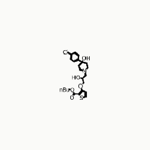 CCCCOC(=O)c1sccc1OCC(O)CN1CCC(O)(c2ccc(Cl)cc2)CC1